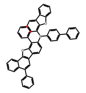 c1ccc(-c2ccc(N(c3ccc4c(oc5c6ccccc6c(-c6ccccc6)cc45)c3-c3ccccc3)c3cccc4c3oc3ccccc34)cc2)cc1